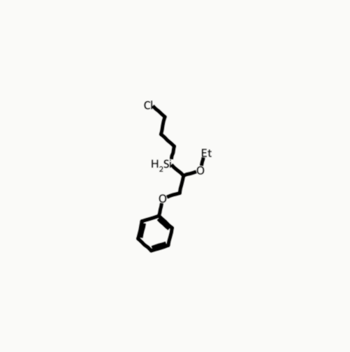 CCOC(COc1ccccc1)[SiH2]CCCCl